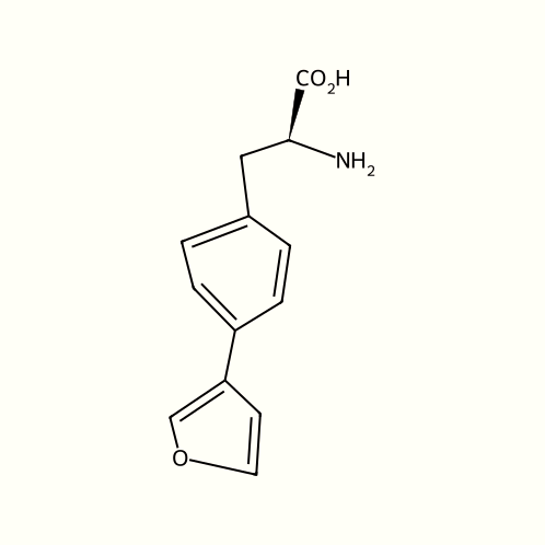 N[C@@H](Cc1ccc(-c2ccoc2)cc1)C(=O)O